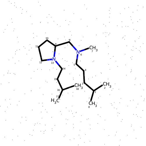 CC(C)CCCN(C)CC1CCCN1CCC(C)C